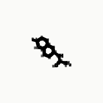 Cc1ccc2cc(NC(N)=O)ccc2n1